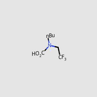 CCCCN(CC(F)(F)F)C(=O)O